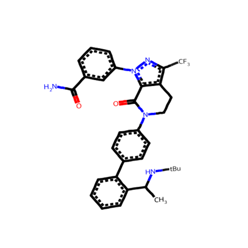 CC(NC(C)(C)C)c1ccccc1-c1ccc(N2CCc3c(C(F)(F)F)nn(-c4cccc(C(N)=O)c4)c3C2=O)cc1